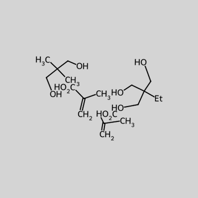 C=C(C)C(=O)O.C=C(C)C(=O)O.CC(C)(CO)CO.CCC(CO)(CO)CO